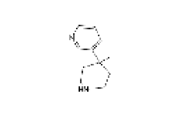 CC1(c2cccnc2)CCNCC1